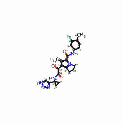 Cc1ccc(NC(=O)c2c(C)c(C(=O)C(=O)NC3(c4c[nH]nn4)CC3)c3n2CCC3)cc1F